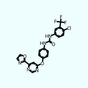 O=C(Nc1ccc(Oc2cc(-c3ncco3)ncn2)cc1)Nc1ccc(Cl)c(C(F)(F)F)c1